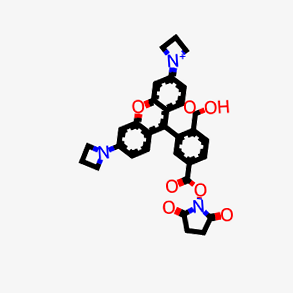 O=C(ON1C(=O)CCC1=O)c1ccc(C(=O)O)c(-c2c3ccc(=[N+]4CCC4)cc-3oc3cc(N4CCC4)ccc23)c1